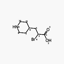 O=C(O)C(Br)CC1CCNCC1